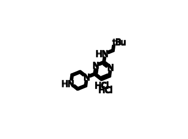 CC(C)(C)CNc1nccc(N2CCNCC2)n1.Cl.Cl